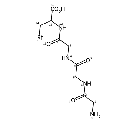 NCC(=O)NCC(=O)NCC(=O)NC([CH2][Rf])C(=O)O